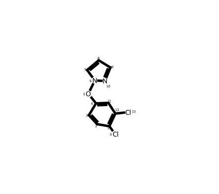 Clc1ccc(On2cc[c]n2)cc1Cl